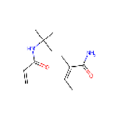 C=CC(=O)NC(C)(C)C.CC=C(C)C(N)=O